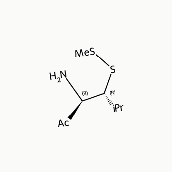 CSS[C@H](C(C)C)[C@H](N)C(C)=O